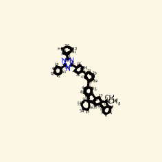 CC1(C)c2ccccc2-c2cc3c(cc21)-c1cc(-c2cccc(-c4ccc(-c5nc(-c6ccccc6)nc(-c6ccccc6)n5)cc4)c2)ccc1C31CCCCC1